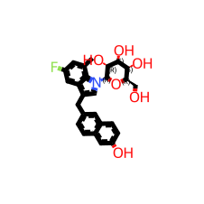 Cc1cc(F)cc2c(Cc3ccc4cc(O)ccc4c3)cn([C@@H]3O[C@H](CO)[C@@H](O)[C@H](O)[C@H]3O)c12